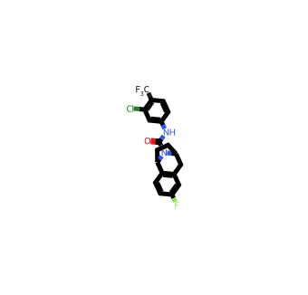 O=C(Nc1ccc(C(F)(F)F)c(Cl)c1)N1C2CCC1c1ccc(F)cc1C2